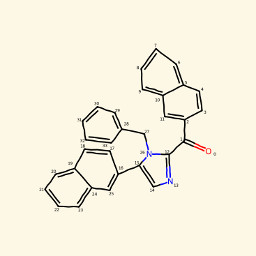 O=C(c1ccc2ccccc2c1)c1ncc(-c2ccc3ccccc3c2)n1Cc1ccccc1